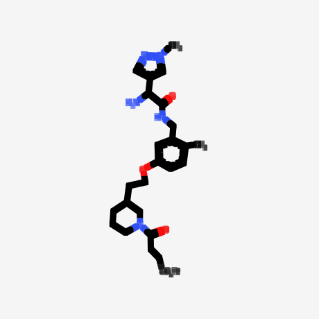 CCOC(=O)CCC(=O)N1CCCC(CCOc2ccc(C)c(CNC(=O)C(N)c3cnn(C)c3)c2)C1